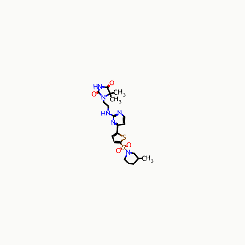 CC1CCCN(S(=O)(=O)c2ccc(-c3ccnc(NCCN4C(=O)NC(=O)C4(C)C)n3)s2)C1